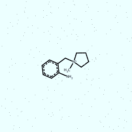 C[N+]1(Cc2ccccc2N)C[CH]CC1